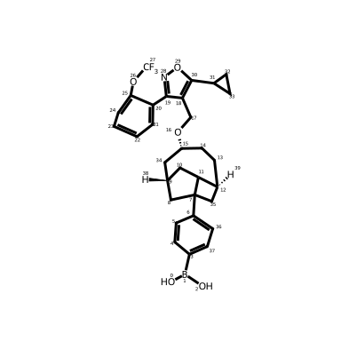 OB(O)c1ccc(C23C[C@H]4CC2[C@@H](CC[C@@H](OCc2c(-c5ccccc5OC(F)(F)F)noc2C2CC2)C4)C3)cc1